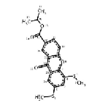 CSc1cc(SC)c2oc3ccc(C(=O)OC(C)C)cc3c(=O)c2c1